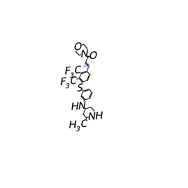 CC1CC(Nc2cccc(Sc3ccc(/C=C/C(=O)N4CCOCC4)c(C(F)(F)F)c3C(F)(F)F)c2)CCN1